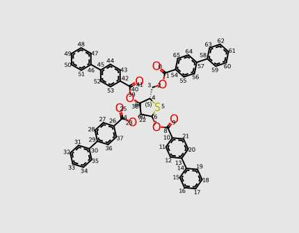 O=C(OC[C@@H]1SC(OC(=O)c2ccc(-c3ccccc3)cc2)[C@H](OC(=O)c2ccc(-c3ccccc3)cc2)[C@H]1OC(=O)c1ccc(-c2ccccc2)cc1)c1ccc(-c2ccccc2)cc1